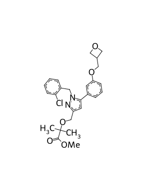 COC(=O)C(C)(C)OCc1cc(-c2cccc(OCC3COC3)c2)n(Cc2ccccc2Cl)n1